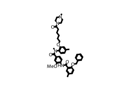 COc1cc(C(=O)N(C)c2ccc(C)cc2OCCCCCC(=O)N2CCN(C)CC2)ccc1NC(=O)c1cc(C)ccc1OCc1ccccc1